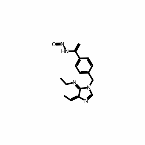 C=C(NN=O)c1ccc(CN2C=NC(=C/C)/C2=N\CC)cc1